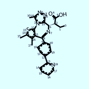 CCC(C(=O)O)[C@@H]1N=C(c2ccc(-c3ccccn3)cc2)c2c(sc(C)c2C)-n2c(C)nnc21